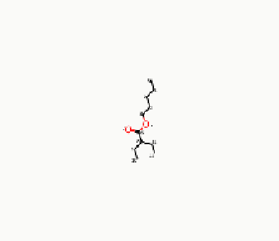 CCCCCOC(=O)C(CC)CC